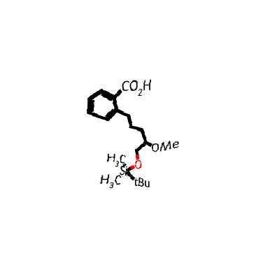 COC(CCCc1ccccc1C(=O)O)CO[Si](C)(C)C(C)(C)C